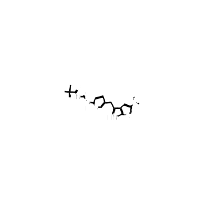 CN(C)c1cnc2[nH]cc(Cc3ccc(NC(=O)NC(=O)C(C)(C)C)nc3)c2c1